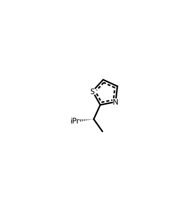 CC(C)[C@@H](C)c1nccs1